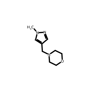 Cn1[c]c(CN2CCOCC2)cn1